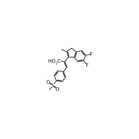 CC1=C(C(=Cc2ccc(S(C)(=O)=O)cc2)C(=O)O)c2cc(F)c(F)cc2C1